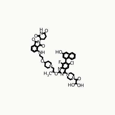 C[C@H](CN1CCC(OCCNc2cccc3c2C(=O)N(C2CCC(=O)NC2=O)C3=O)CC1)Oc1nc(N2CCN(C(=O)C(O)O)CC2)c2cc(Cl)c(-c3cc(O)cc4ccccc34)c(F)c2n1